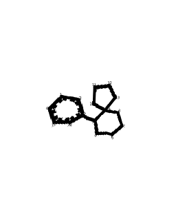 c1ccc(C2CCCCC23CCCC3)cc1